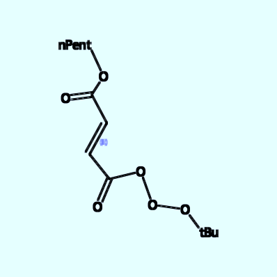 CCCCCOC(=O)/C=C/C(=O)OOOC(C)(C)C